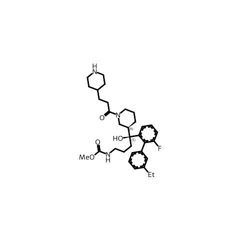 CCc1cccc(-c2c(F)cccc2[C@](O)(CCCNC(=O)OC)[C@@H]2CCCN(C(=O)CCC3CCNCC3)C2)c1